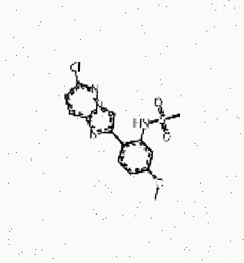 COc1ccc(-c2cn3nc(Cl)ccc3n2)c(NS(C)(=O)=O)c1